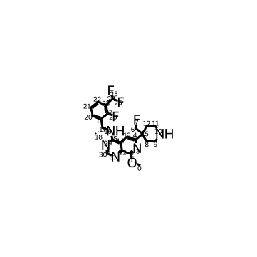 COc1nc(C2(CF)CCNCC2)cc2c(N[C@H](C)c3cccc(C(F)F)c3F)ncnc12